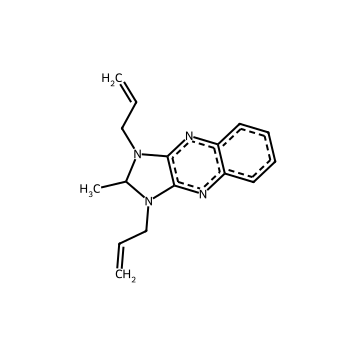 C=CCN1c2nc3ccccc3nc2N(CC=C)C1C